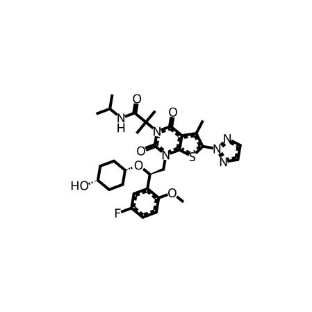 COc1ccc(F)cc1[C@H](Cn1c(=O)n(C(C)(C)C(=O)NC(C)C)c(=O)c2c(C)c(-n3nccn3)sc21)O[C@H]1CC[C@@H](O)CC1